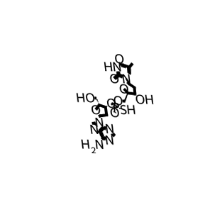 Cc1cn([C@H]2C[C@@H](O)[C@@H](CO[P@](=O)(S)O[C@@H]3C[C@H](n4cnc5c(N)ncnc54)O[C@@H]3CO)O2)c(=O)[nH]c1=O